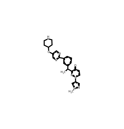 CC(c1cccc(-c2ncc(OC3CCNCC3)cn2)c1)c1nn(-c2cnn(C)c2)ccc1=O